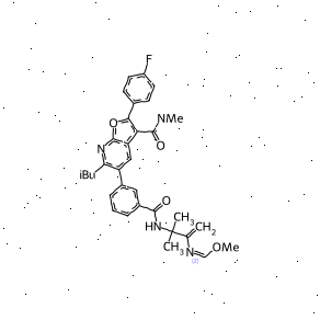 C=C(/N=C\OC)C(C)(C)NC(=O)c1cccc(-c2cc3c(C(=O)NC)c(-c4ccc(F)cc4)oc3nc2C(C)CC)c1